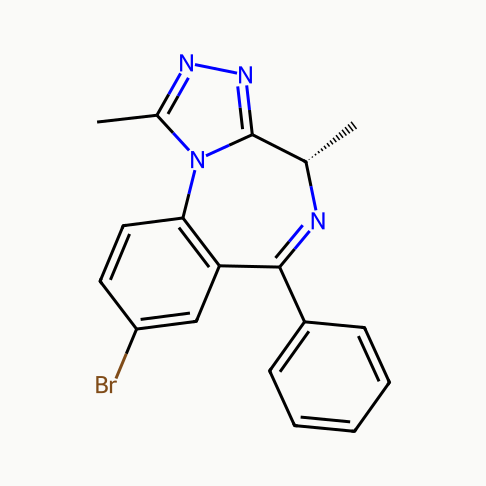 Cc1nnc2n1-c1ccc(Br)cc1C(c1ccccc1)=N[C@H]2C